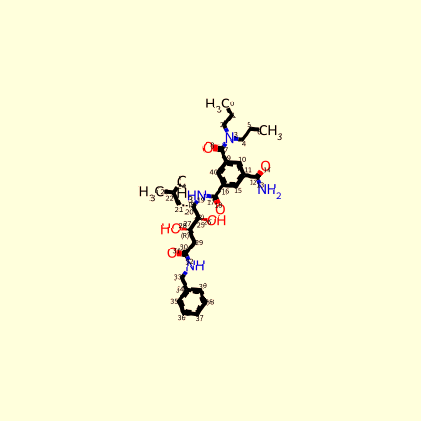 CCCN(CCC)C(=O)c1cc(C(N)=O)cc(C(=O)N[C@@H](CC(C)C)[C@@H](O)[C@H](O)CC(=O)NCc2ccccc2)c1